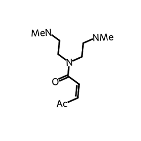 CNCCN(CCNC)C(=O)/C=C\C(C)=O